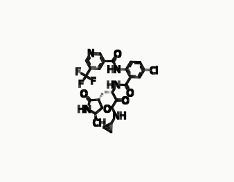 C[C@@H]1C[C@@H](C[C@H](NC(=O)c2cc(Cl)ccc2NC(=O)c2cncc(C(F)(F)F)c2)C(=O)C(=O)NC2CC2)C(=O)N1